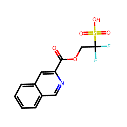 O=C(OCC(F)(F)S(=O)(=O)O)c1cc2ccccc2cn1